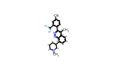 Cc1c(-c2ccc(C#N)cc2C(F)F)nnc2c(C3CCCN(C)C3)cccc12